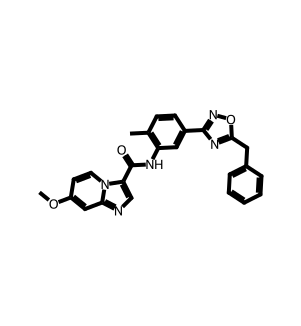 COc1ccn2c(C(=O)Nc3cc(-c4noc(Cc5ccccc5)n4)ccc3C)cnc2c1